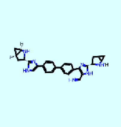 N=Cc1[nH]c([C@@H]2CC3C[C@H]3N2)nc1-c1ccc(-c2ccc(-c3c[nH]c([C@@H]4C[C@H]5C[C@H]5N4)n3)cc2)cc1